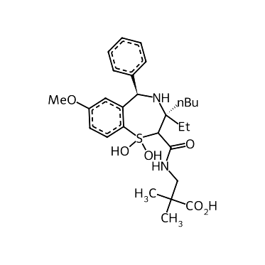 CCCC[C@@]1(CC)N[C@H](c2ccccc2)c2cc(OC)ccc2S(O)(O)C1C(=O)NCC(C)(C)C(=O)O